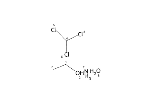 CCO.ClC(Cl)Cl.N.O